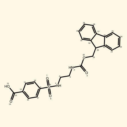 O=C(NCCNS(=O)(=O)c1ccc(C(=O)O)cc1)OCC1c2ccccc2-c2ccccc21